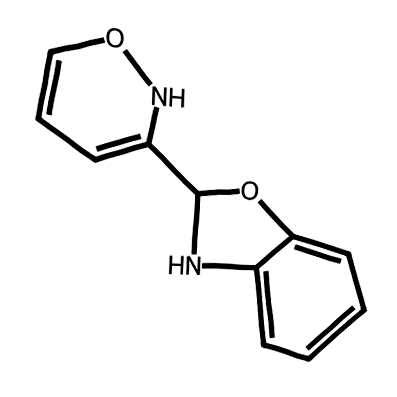 C1=CONC(C2Nc3ccccc3O2)=C1